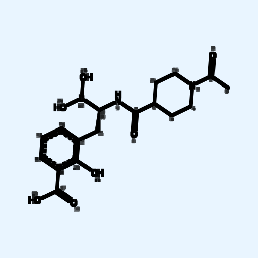 CC(=O)N1CCC(C(=O)N[C@@H](Cc2cccc(C(=O)O)c2O)B(O)O)CC1